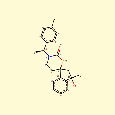 Cc1ccc([C@H](C)N2CCC(CC(C)(C)O)(c3ccccc3)OC2=O)cc1